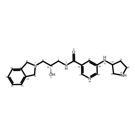 O=C(NC[C@H](O)CN1Cc2ccccc2C1)c1cncc(NC2CCNC2)c1